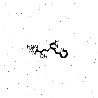 OC(CCc1cc[nH]c1Cc1ccccn1)c1nn[nH]n1